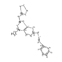 CN1CN(CN2CCCC2)CC2=C1CCN(CC#Cc1ccccc1)C2